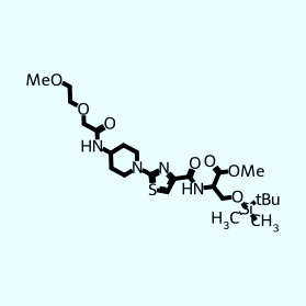 COCCOCC(=O)NC1CCN(c2nc(C(=O)NC(CO[Si](C)(C)C(C)(C)C)C(=O)OC)cs2)CC1